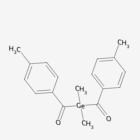 Cc1ccc([C](=O)[Ge]([CH3])([CH3])[C](=O)c2ccc(C)cc2)cc1